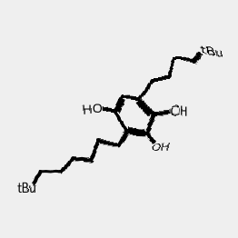 CC(C)(C)CCCCCCc1c(O)cc(CCCCC(C)(C)C)c(O)c1O